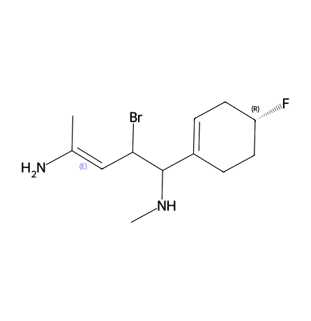 CNC(C1=CC[C@H](F)CC1)C(Br)/C=C(\C)N